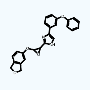 c1ccc(Oc2cccc(-c3c[nH]c(C4OC4Oc4ccc5c(c4)COC5)n3)c2)cc1